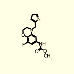 COC(=O)Nc1cc(F)c2c(c1)N(CC1=CCC=N1)CCO2